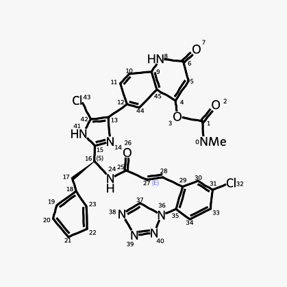 CNC(=O)Oc1cc(=O)[nH]c2ccc(-c3nc([C@H](Cc4ccccc4)NC(=O)/C=C/c4cc(Cl)ccc4-n4cnnn4)[nH]c3Cl)cc12